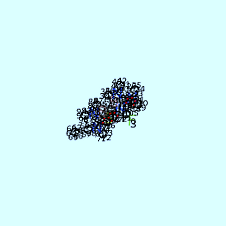 Fc1cc(-c2ccccc2)c(N2c3cc(N(c4ccccc4)c4ccccc4)cc4c3B(c3ccccc3N4c3ccccc3)c3cc4c(c(C(F)(F)F)c32)Sc2cc(N(c3ccc(-c5ccccc5)cc3)c3ccccc3-c3ccccc3)cc3c2B4c2ccccc2N3c2ccccc2)c(-c2ccccc2)c1